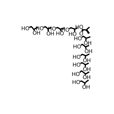 C=C(C)C(=O)O.CC(O)CO.CC(O)CO.CC(O)CO.CC(O)CO.CC(O)CO.CC(O)CO.CC(O)CO.CC(O)CO.CC(O)CO.CC(O)CO